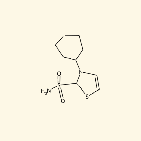 NS(=O)(=O)C1SC=CN1C1CCCCC1